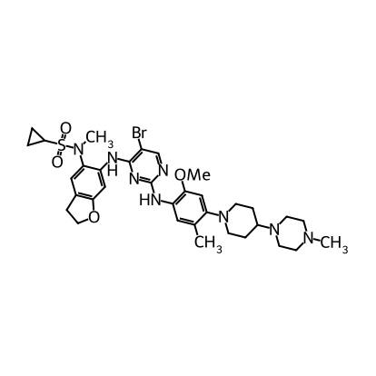 COc1cc(N2CCC(N3CCN(C)CC3)CC2)c(C)cc1Nc1ncc(Br)c(Nc2cc3c(cc2N(C)S(=O)(=O)C2CC2)CCO3)n1